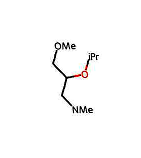 CNCC(COC)OC(C)C